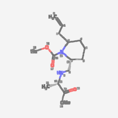 C=CCC1CCC[C@H](CN[C@@H](C)C(=O)OC)N1C(=O)OC(C)(C)C